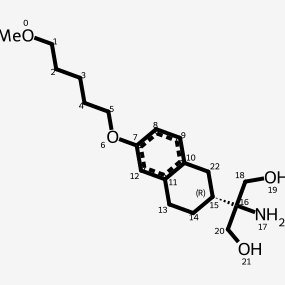 COCCCCCOc1ccc2c(c1)CC[C@@H](C(N)(CO)CO)C2